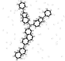 c1ccc(-c2nc3ccc(N(c4ccc5c(ccc6cc(-c7ccc8ccccc8c7)ccc65)c4)c4ccc5nc(-c6ccccc6)sc5n4)nc3s2)cc1